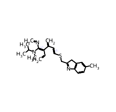 C=C/C(C(=C)/C=C/SCC1=Nc2ccc(C)cc2C1)=C(/N=C)N(C)C(C)C